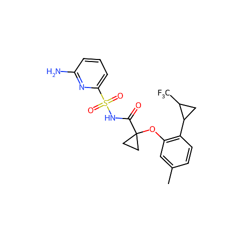 Cc1ccc(C2CC2C(F)(F)F)c(OC2(C(=O)NS(=O)(=O)c3cccc(N)n3)CC2)c1